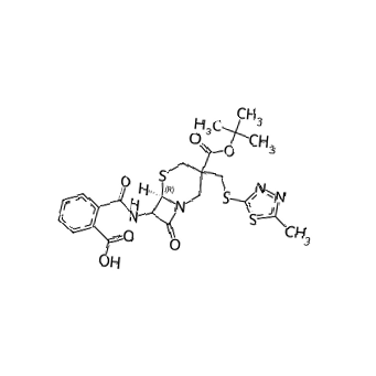 Cc1nnc(SCC2(C(=O)OC(C)(C)C)CS[C@@H]3C(NC(=O)c4ccccc4C(=O)O)C(=O)N3C2)s1